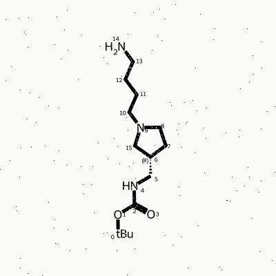 CC(C)(C)OC(=O)NC[C@H]1CCN(CCCCN)C1